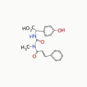 CN(C(=O)C=Cc1ccccc1)C(=O)NC(C(=O)O)c1ccc(O)cc1